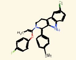 CC=C(Oc1ccc(F)cc1)N1CCc2c([nH]c3ccc(Cl)cc23)C1c1ccc(OC)cc1